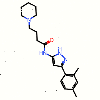 Cc1ccc(-c2cc(NC(=O)CCCN3CCCCC3)[nH]n2)c(C)c1